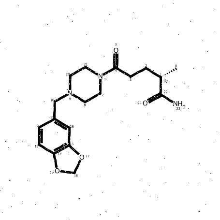 C[C@@H](C[CH]C(=O)N1CCN(Cc2ccc3c(c2)OCO3)CC1)C(N)=O